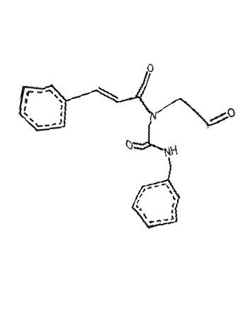 O=[C]CN(C(=O)C=Cc1ccccc1)C(=O)Nc1ccccc1